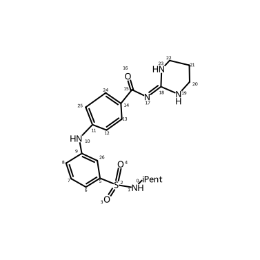 CCCC(C)NS(=O)(=O)c1cccc(Nc2ccc(C(=O)N=C3NCCCN3)cc2)c1